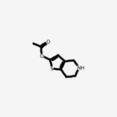 CC(=O)Oc1cc2c(s1)CCNC2